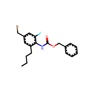 CCCCc1cc(CBr)cc(F)c1NC(=O)OCc1ccccc1